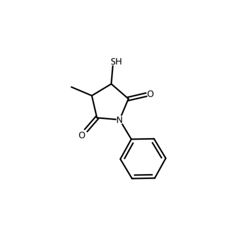 CC1C(=O)N(c2ccccc2)C(=O)C1S